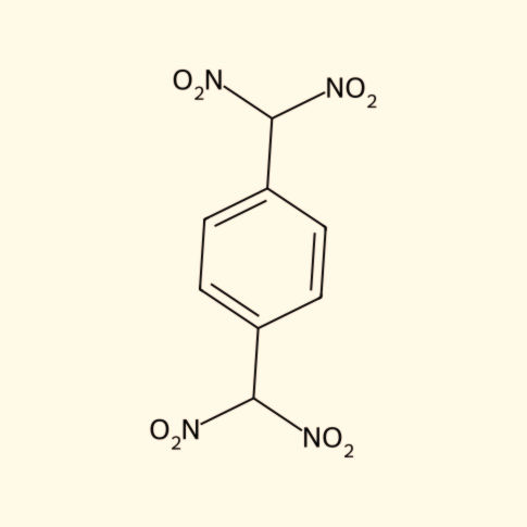 O=[N+]([O-])C(c1ccc(C([N+](=O)[O-])[N+](=O)[O-])cc1)[N+](=O)[O-]